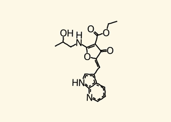 CCOC(=O)C1=C(NCC(C)O)OC(=Cc2c[nH]c3ncccc23)C1=O